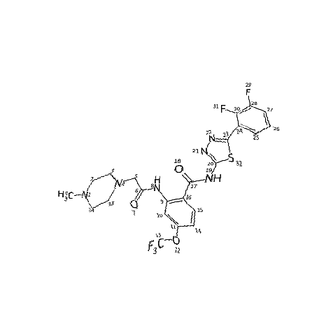 CN1CCN(CC(=O)Nc2cc(OC(F)(F)F)ccc2C(=O)Nc2nnc(-c3cccc(F)c3F)s2)CC1